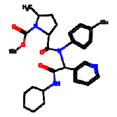 CC1CCC(C(=O)N(c2ccc(C(C)(C)C)cc2)C(C(=O)NC2CCCCC2)c2cccnc2)N1C(=O)OC(C)(C)C